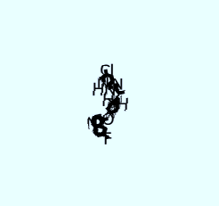 CC(c1nc2cc(Cl)cnc2[nH]1)[C@H]1[C@@H]2C[C@H](Oc3ccnc4ccc(F)cc34)C[C@@H]21